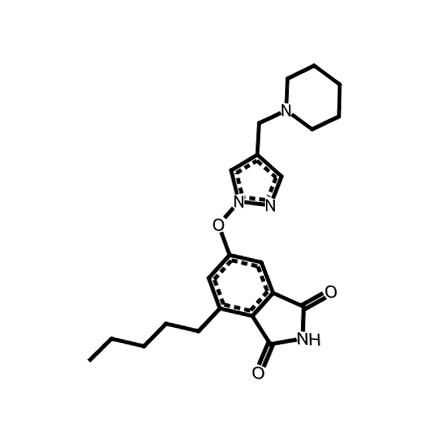 CCCCCc1cc(On2cc(CN3CCCCC3)cn2)cc2c1C(=O)NC2=O